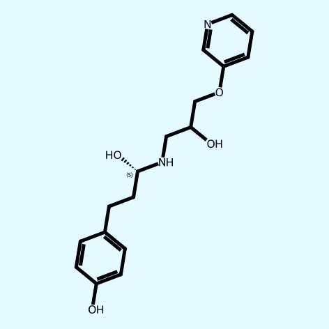 Oc1ccc(CC[C@H](O)NCC(O)COc2cccnc2)cc1